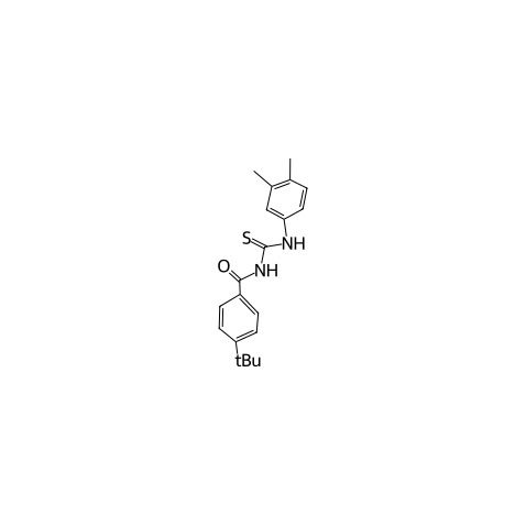 Cc1ccc(NC(=S)NC(=O)c2ccc(C(C)(C)C)cc2)cc1C